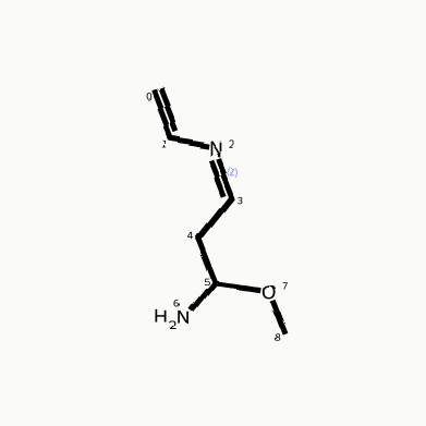 C=C/N=C\CC(N)OC